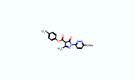 COc1ccc(N2N=C(C)C(C(=O)Oc3ccc([N+](=O)[O-])cc3)C2=O)nn1